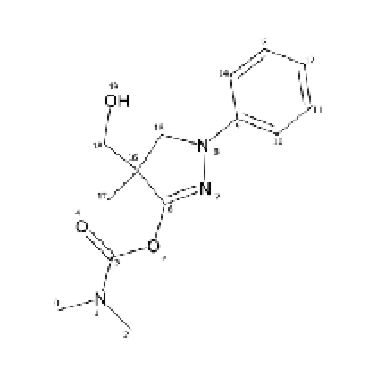 CN(C)C(=O)OC1=NN(c2ccccc2)CC1(C)CO